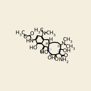 COC(=O)Nc1cc(N(C)C)c2c(c1O)C(=O)/C1=C(\O)[C@H](O)C(=O)/C(C(N)=O)=C(/O)[C@@H](N(C)C)CC[C@@H]1C2